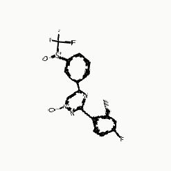 [O-][n+]1cc(-c2cccc([S+]([O-])C(F)(F)F)c2)nc(-c2ccc(F)cc2F)n1